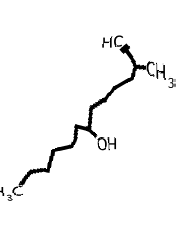 C#CC(C)CCCCC(O)CCCCCC